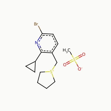 Brc1ccc(C[S+]2CCCC2)c(C2CC2)n1.CS(=O)(=O)[O-]